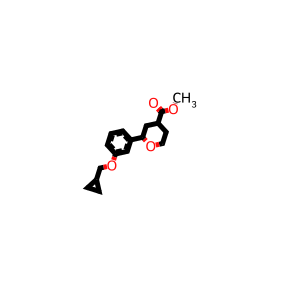 COC(=O)C1CCOC(c2cccc(OCC3CC3)c2)C1